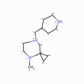 CN1CCN(CC2CCNCC2)CC12CC2